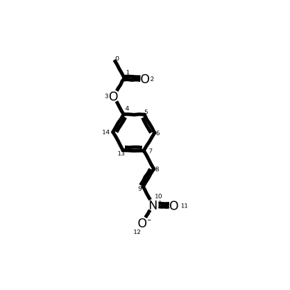 CC(=O)Oc1ccc(C=C[N+](=O)[O-])cc1